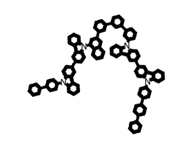 c1ccc(-c2ccc(-c3ccc(-n4c5ccccc5c5cc(-c6ccc7c(c6)c6ccccc6n7-c6cccc(-c7cccc(-c8cccc(-c9cc(-n%10c%11ccccc%11c%11cc(-c%12ccc%13c(c%12)c%12ccccc%12n%13-c%12ccc(-c%13ccccc%13)cc%12)ccc%11%10)c%10ccccc%10c9)c8)c7)c6)ccc54)cc3)cc2)cc1